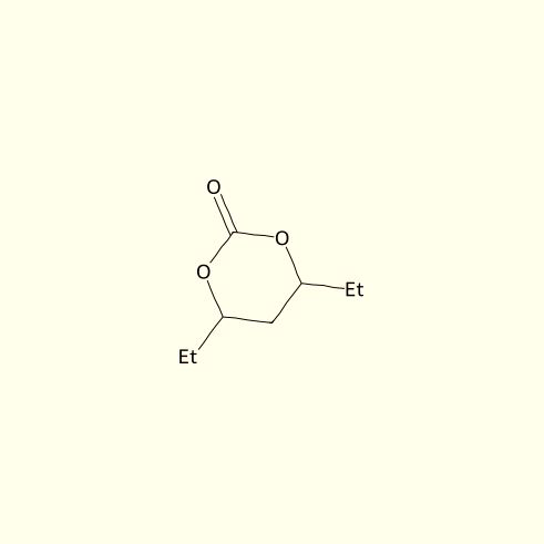 CCC1CC(CC)OC(=O)O1